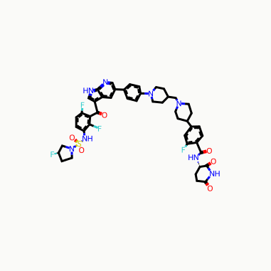 O=C1CC[C@H](NC(=O)c2ccc(C3CCN(CC4CCN(c5ccc(-c6cnc7[nH]cc(C(=O)c8c(F)ccc(NS(=O)(=O)N9CC[C@@H](F)C9)c8F)c7c6)cc5)CC4)CC3)cc2F)C(=O)N1